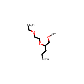 CCCCCCCCCCCC(COCCC)OCCOCC(=O)O